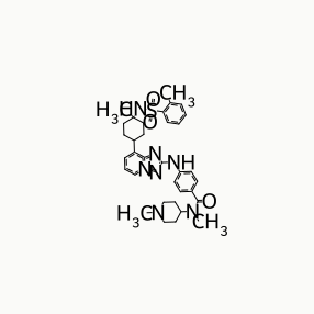 Cc1ccccc1S(=O)(=O)NC1(C)CCC(c2cccn3nc(Nc4ccc(C(=O)N(C)C5CCN(C)CC5)cc4)nc23)CC1